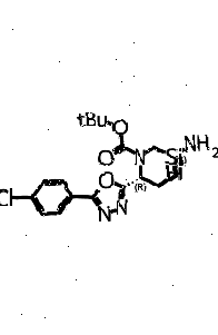 CC(C)(C)OC(=O)N1C[Si@@H](N)CC[C@@H]1c1nnc(-c2ccc(Cl)cc2)o1